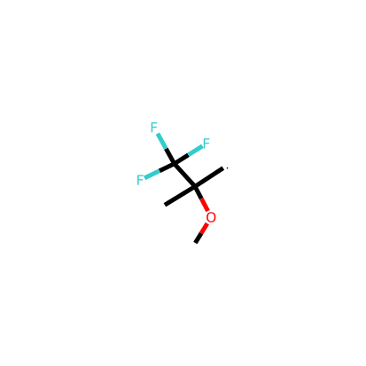 [CH2]C(C)(OC)C(F)(F)F